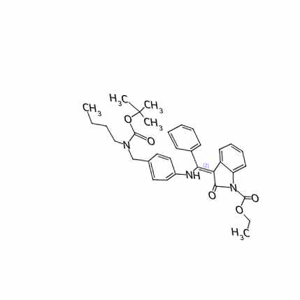 CCCCN(Cc1ccc(N/C(=C2\C(=O)N(C(=O)OCC)c3ccccc32)c2ccccc2)cc1)C(=O)OC(C)(C)C